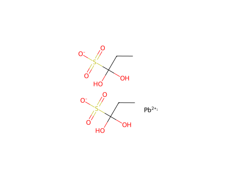 CCC(O)(O)S(=O)(=O)[O-].CCC(O)(O)S(=O)(=O)[O-].[Pb+2]